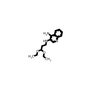 CCOC(CCNc1cnc2ccccc2c1N)OCC